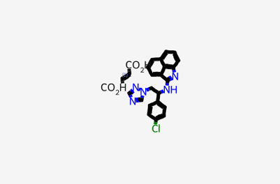 Clc1ccc(C(Cn2cncn2)NC2=Nc3cccc4cccc2c34)cc1.O=C(O)/C=C/C(=O)O